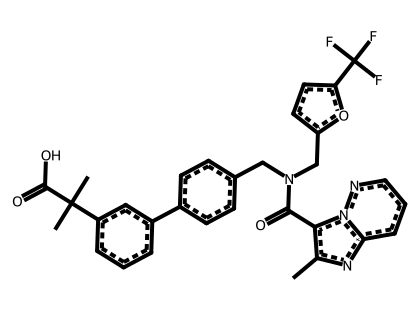 Cc1nc2cccnn2c1C(=O)N(Cc1ccc(-c2cccc(C(C)(C)C(=O)O)c2)cc1)Cc1ccc(C(F)(F)F)o1